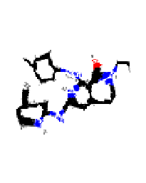 CCn1ccc2cc(Nc3cc(C)ccn3)nc(NC3CC=C(C)CC3)c2c1=O